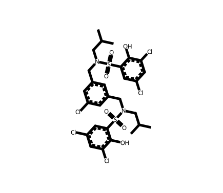 CC(C)CN(Cc1cc(Cl)cc(CN(CC(C)C)S(=O)(=O)c2cc(Cl)cc(Cl)c2O)c1)S(=O)(=O)c1cc(Cl)cc(Cl)c1O